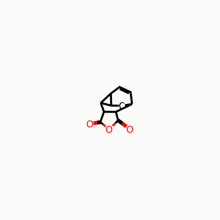 O=C1OC(=O)C2C1C1C=CC3C(C1)C32